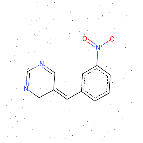 O=[N+]([O-])c1cccc(C=C2C=NC=NC2)c1